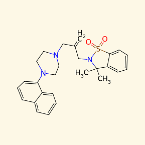 C=C(CN1CCN(c2cccc3ccccc23)CC1)CN1C(C)(C)c2ccccc2S1(=O)=O